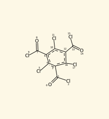 O=C(Cl)c1c(Cl)c(C(=O)Cl)c(Cl)c(C(=O)Cl)c1Cl